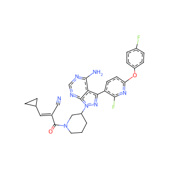 N#CC(=CC1CC1)C(=O)N1CCCC(n2nc(-c3ccc(Oc4ccc(F)cc4)nc3F)c3c(N)ncnc32)C1